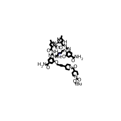 CCn1nc(C)cc1C(=O)Nc1nc2cc(C(N)=O)cc(OC)c2n1C/C=C/Cn1c(NC(=O)c2cc(C)nn2CC)nc2cc(C(N)=O)cc(OCC#CC3CCN(C(=O)C4CCN(C(=O)OC(C)(C)C)CC4)CC3)c21